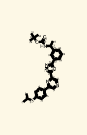 CC(C)Sc1ccc(-c2cncc(-c3nnc(-c4cccc(C(C)NC(=O)OC(C)(C)C)c4)o3)n2)cc1